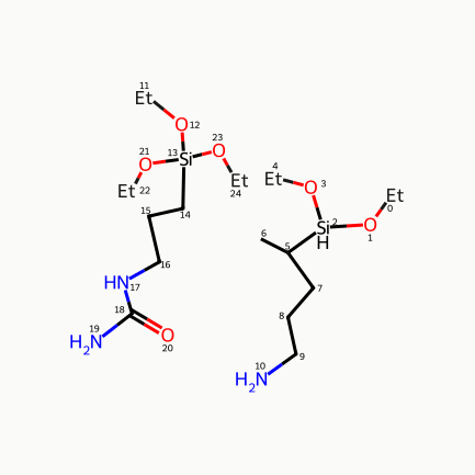 CCO[SiH](OCC)C(C)CCCN.CCO[Si](CCCNC(N)=O)(OCC)OCC